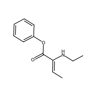 CC=C(NCC)C(=O)Oc1ccccc1